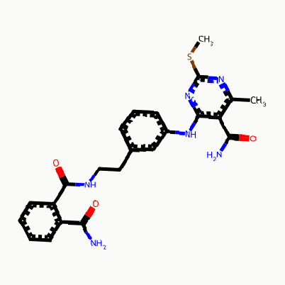 CSc1nc(C)c(C(N)=O)c(Nc2cccc(CCNC(=O)c3ccccc3C(N)=O)c2)n1